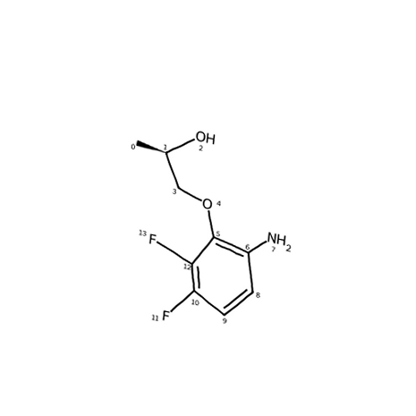 C[C@@H](O)COc1c(N)ccc(F)c1F